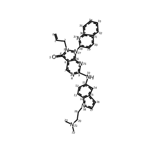 C=CCn1c(=O)c2cnc(Nc3ccc4c(ccn4CCN(C)C)c3)nc2n1-c1ccc2ccccc2n1